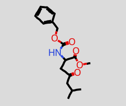 COC(=O)C(CC(=O)CC(C)C)NC(=O)OCc1ccccc1